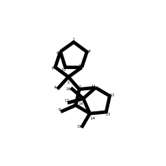 C[C]1C(C2(C)CC3CCC2C3)C2CCC1(C)C2(C)C